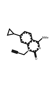 C#CCn1c(=O)nc(NC)c2ccc(C3CC3)cc21